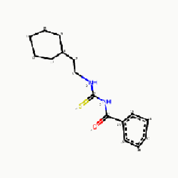 O=C(NC(=S)NCCC1CCCCC1)c1ccccc1